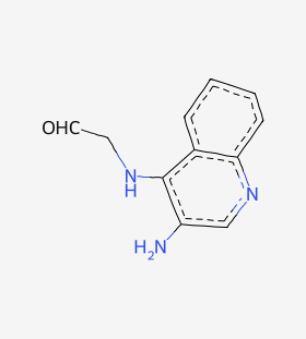 Nc1cnc2ccccc2c1NCC=O